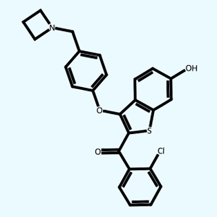 O=C(c1ccccc1Cl)c1sc2cc(O)ccc2c1Oc1ccc(CN2CCC2)cc1